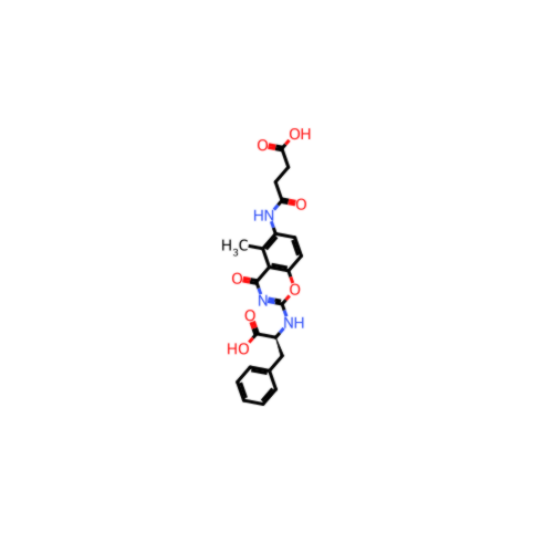 Cc1c(NC(=O)CCC(=O)O)ccc2oc(N[C@@H](Cc3ccccc3)C(=O)O)nc(=O)c12